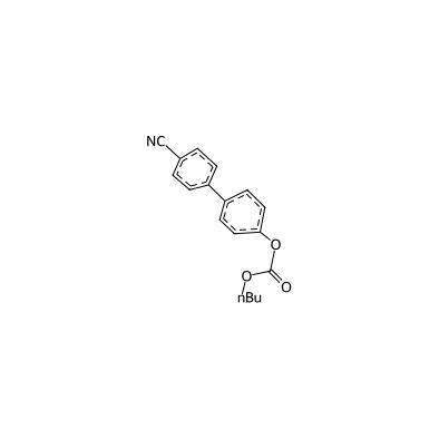 CCCCOC(=O)Oc1ccc(-c2ccc(C#N)cc2)cc1